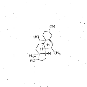 CC1C=C2CC(O)CC[C@]2(CO)[C@@H]2CC[C@]3(C)C(O)CC[C@H]3[C@H]12